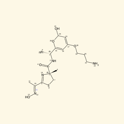 CCC[C@@H](NC(=O)[C@]1(C)CSC(/C(C)=N/O)=N1)C1=CC(OCCCN)=CC(O)O1